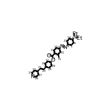 CCN(CC)c1ccc(N=Nc2ccc(C(=O)Oc3ccc(C=Cc4ccncc4)cc3)c(C)c2)cc1